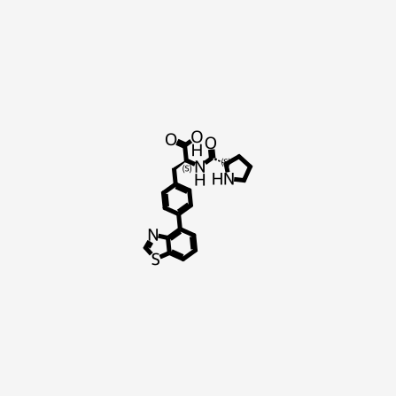 O=C(O)[C@H](Cc1ccc(-c2cccc3scnc23)cc1)NC(=O)[C@@H]1CCCN1